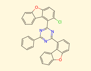 Clc1ccc2oc3ccccc3c2c1-c1nc(-c2ccccc2)nc(-c2cccc3oc4ccccc4c23)n1